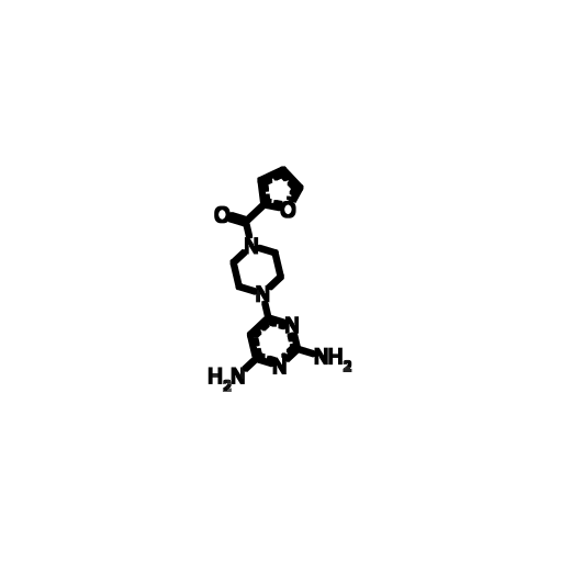 Nc1cc(N2CCN(C(=O)c3ccco3)CC2)nc(N)n1